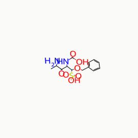 CC(N)C(=O)C(NC(=O)O)C(OCc1ccccc1)S(=O)(=O)O